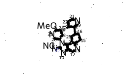 COc1ccc(-n2/c(=N\C#N)n(C)c3cnc4ccc(-c5cnccc5F)cc4c32)cn1